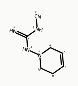 N#CNC(=N)NN1CC=CCC1